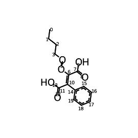 CCCCOO/C(C(=O)O)=C(\C(=O)O)c1ccccc1